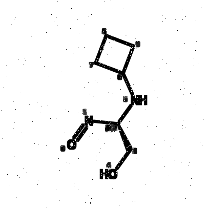 O=N[C@H](CO)NC1CCC1